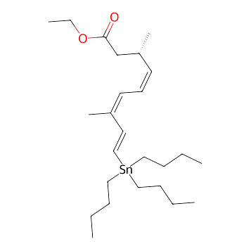 CCC[CH2][Sn](/[CH]=C/C(C)=C\C=C/[C@@H](C)CC(=O)OCC)([CH2]CCC)[CH2]CCC